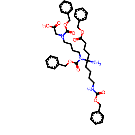 NC(CCCCNC(=O)OCc1ccccc1)(CCCC(=O)OCc1ccccc1)N(CCCCN(CC(=O)O)C(=O)OCc1ccccc1)C(=O)OCc1ccccc1